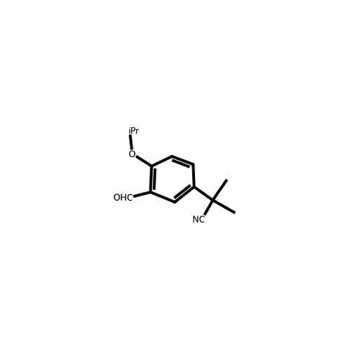 CC(C)Oc1ccc(C(C)(C)C#N)cc1C=O